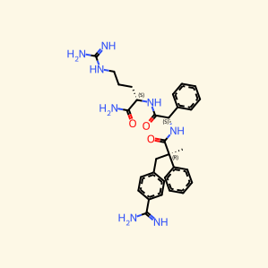 C[C@](Cc1ccc(C(=N)N)cc1)(C(=O)N[C@H](C(=O)N[C@@H](CCCNC(=N)N)C(N)=O)c1ccccc1)c1ccccc1